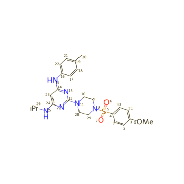 COc1ccc(S(=O)(=O)N2CCN(c3nc(Nc4ccc(C)cc4)cc(NC(C)C)n3)CC2)cc1